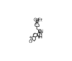 CC[S+]([O-])N1CCC(Cc2cn[nH]c2-c2ccc3c(c2F)CCC(=O)N3C)CC1